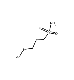 CC(=O)SCCCS(N)(=O)=O